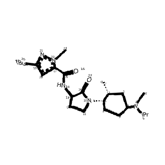 [CH2][C@@H]1CC(N(C)C(C)C)CC[C@@H]1N1CCC(NC(=O)c2cc(C(C)(C)C)nn2C)C1=O